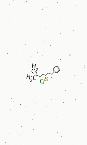 C=CC(=C)CCC(CCc1ccccc1)SCl